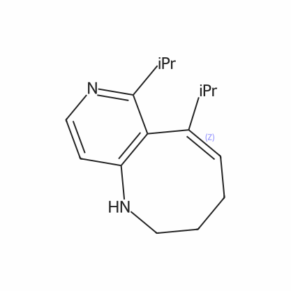 CC(C)/C1=C/CCCNc2ccnc(C(C)C)c21